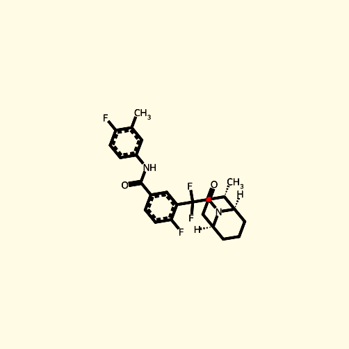 Cc1cc(NC(=O)c2ccc(F)c(C(F)(F)C(=O)N3[C@H]4CCC[C@@H]3[C@@H](C)CC4)c2)ccc1F